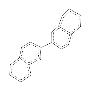 [c]1c(-c2ccc3ccccc3n2)ccc2ccccc12